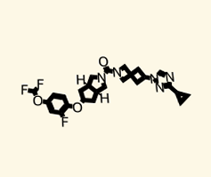 O=C(N1C[C@H]2CC(Oc3ccc(OC(F)F)cc3F)C[C@H]2C1)N1CC2(CC(n3cnc(C4CC4)n3)C2)C1